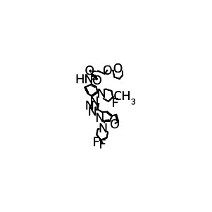 CC1(F)CCN(c2cc(NS(=O)(=O)CCOC3CCCCO3)ccc2-n2cc(-c3cc4ccoc4c(N4CCC(F)(F)CC4)n3)nn2)CC1